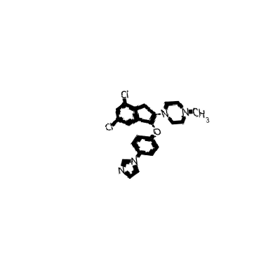 CN1CCN([C@H]2Cc3c(Cl)cc(Cl)cc3[C@H]2Oc2ccc(-n3ccnc3)cc2)CC1